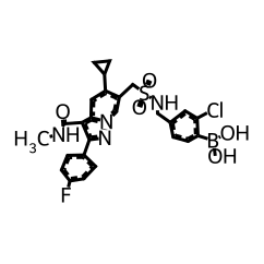 CNC(=O)c1c(-c2ccc(F)cc2)nn2cc(CS(=O)(=O)NCc3ccc(B(O)O)c(Cl)c3)c(C3CC3)cc12